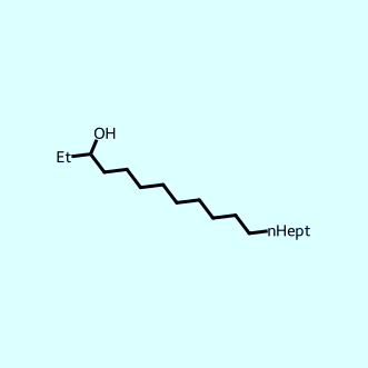 [CH2]CCCCCCCCCCCCCCCC(O)CC